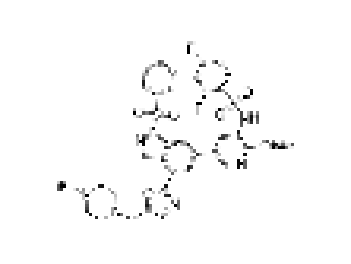 COc1ncc(-c2cc(-c3ncc(CN4CCN(C(C)C)CC4)o3)c3cnn(S(=O)(=O)c4ccccc4)c3c2)cc1NS(=O)(=O)c1ccc(F)cc1F